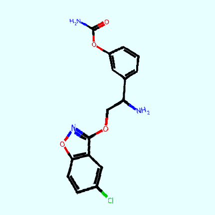 NC(=O)Oc1cccc(C(N)COc2noc3ccc(Cl)cc23)c1